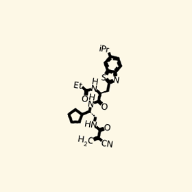 C=C(C#N)C(=O)NC[C@@H](NC(=O)[C@H](Cc1nc2ccc(C(C)C)cc2s1)NC(=O)CC)C1CCCC1